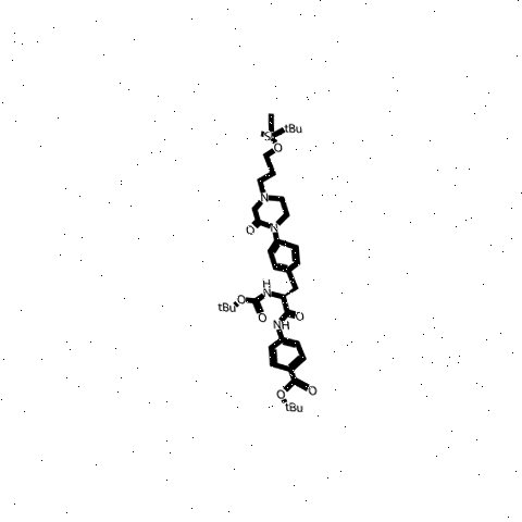 CC(C)(C)OC(=O)N[C@@H](Cc1ccc(N2CCN(CCCO[Si](C)(C)C(C)(C)C)CC2=O)cc1)C(=O)Nc1ccc(C(=O)OC(C)(C)C)cc1